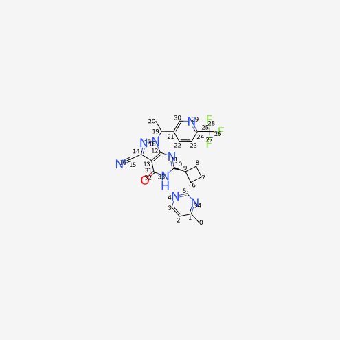 Cc1ccnc([C@H]2CC[C@@H]2c2nc3c(c(C#N)nn3C(C)c3ccc(C(F)(F)F)nc3)c(=O)[nH]2)n1